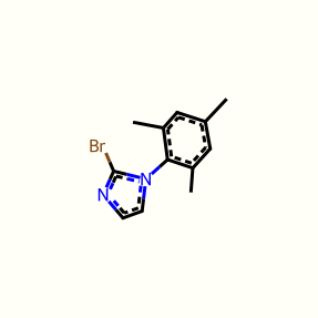 Cc1cc(C)c(-n2ccnc2Br)c(C)c1